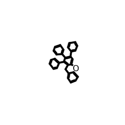 c1ccc(-c2cc3c(c(-c4ccccc4)c2-c2ccccc2)Cc2ccccc2O3)cc1